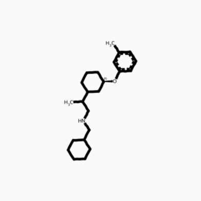 Cc1cccc(O[C@@H]2CCCC(C(C)CNCC3CCCCC3)C2)c1